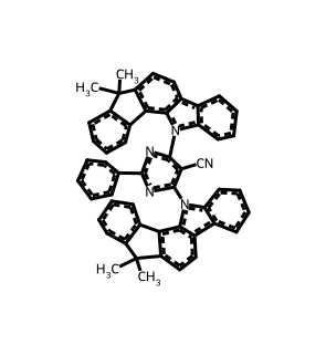 CC1(C)c2ccccc2-c2c1ccc1c3ccccc3n(-c3nc(-c4ccccc4)nc(-n4c5ccccc5c5ccc6c(c54)-c4ccccc4C6(C)C)c3C#N)c21